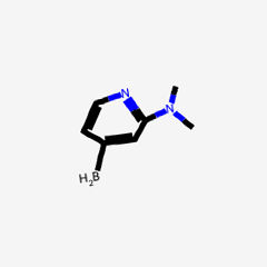 Bc1ccnc(N(C)C)c1